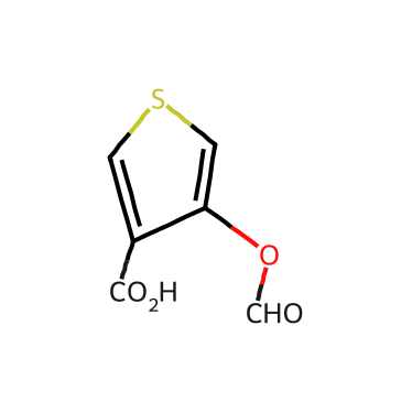 O=COc1cscc1C(=O)O